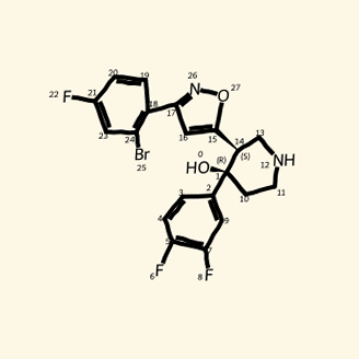 O[C@]1(c2ccc(F)c(F)c2)CCNC[C@@H]1c1cc(-c2ccc(F)cc2Br)no1